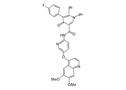 COc1cc2nccc(Oc3ccc(NC(=O)c4cn(C(C)C)c(C(C)C)c(-c5ccc(F)cc5)c4=O)nc3)c2cc1OC